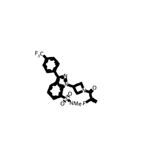 C=C(F)C(=O)N1CC(n2nc(-c3ccc(C(F)(F)F)cc3)c3cccc(S(=O)(=O)NC)c32)C1